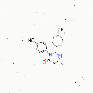 Cc1cc(=O)n(-c2ccc(C#N)cc2)c([C@H]2CC[C@@H](C(F)(F)F)CC2)n1